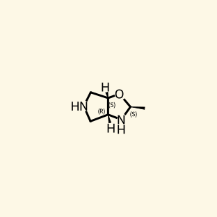 C[C@H]1N[C@@H]2CNC[C@@H]2O1